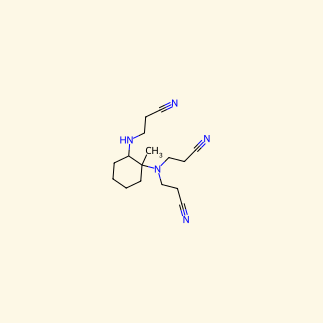 CC1(N(CCC#N)CCC#N)CCCCC1NCCC#N